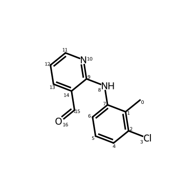 Cc1c(Cl)cccc1Nc1ncccc1[C]=O